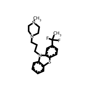 CN1CCN(CCCN2c3ccccc3Sc3ccc(C(C)(F)F)cc32)CC1